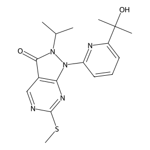 CSc1ncc2c(=O)n(C(C)C)n(-c3cccc(C(C)(C)O)n3)c2n1